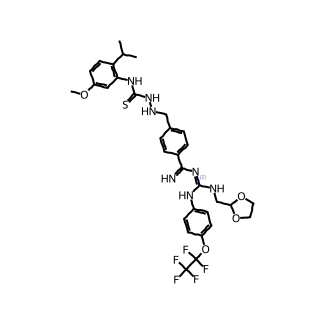 COc1ccc(C(C)C)c(NC(=S)NNCc2ccc(C(=N)/N=C(/NCC3OCCO3)Nc3ccc(OC(F)(F)C(F)(F)F)cc3)cc2)c1